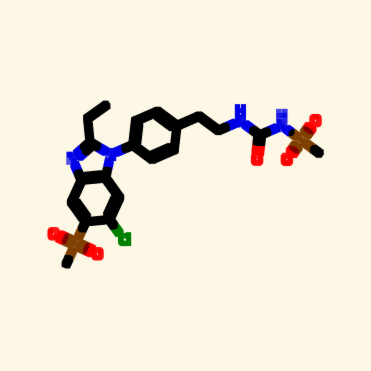 CCc1nc2cc(S(C)(=O)=O)c(Cl)cc2n1-c1ccc(CCNC(=O)NS(C)(=O)=O)cc1